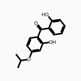 CC(C)Oc1ccc(C(=O)c2ccccc2O)c(O)c1